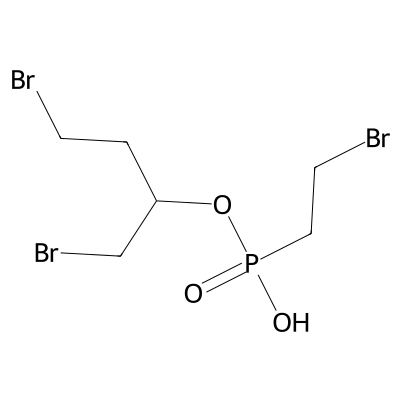 O=P(O)(CCBr)OC(CBr)CCBr